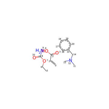 C=CC(=O)O.CCOC(N)=O.CN(C)Cc1ccccc1